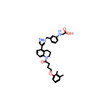 Cc1cccc(OCCCC(=O)N2CCCc3c(-c4cnn(Cc5cccc(NCC(=O)O)c5)c4)cccc32)c1C